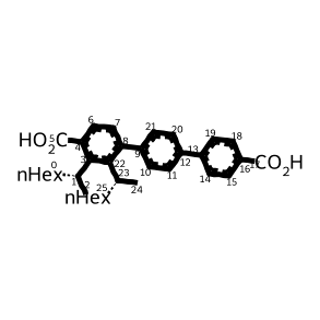 CCCCCC[C@@H](C)c1c(C(=O)O)ccc(-c2ccc(-c3ccc(C(=O)O)cc3)cc2)c1[C@H](C)CCCCCC